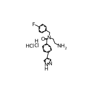 Cl.Cl.NCCN(Cc1ccc(F)cc1)C(=O)c1ccc(-c2cn[nH]c2)cc1